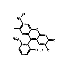 CCNc1cc2oc3cc(=O)c(Cl)cc-3c(-c3c(C(=O)O)cccc3C(=O)O)c2cc1C